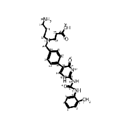 Cc1ccccc1NC(=O)Nc1nc(=O)c(-c2ccc(CN(CCCN)CCC(=O)O)cc2)c[nH]1